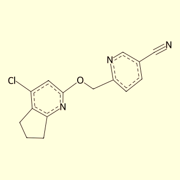 N#Cc1ccc(COc2cc(Cl)c3c(n2)CCC3)nc1